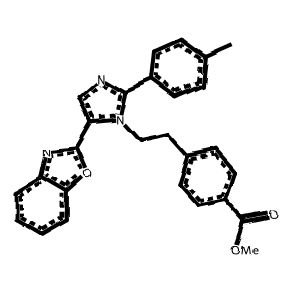 COC(=O)c1ccc(CCn2c(-c3nc4ccccc4o3)cnc2-c2ccc(C)cc2)cc1